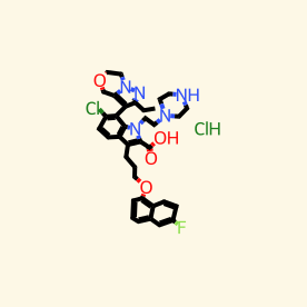 CCc1nn2c(c1-c1c(Cl)ccc3c(CCCOc4cccc5cc(F)ccc45)c(C(=O)O)n(CCN4CCNCC4)c13)COCC2.Cl